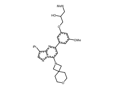 CNCC(O)COc1cc(OC)cc(-c2cc(N3CC4(CCOCC4)C3)n3ncc(C(C)C)c3n2)c1